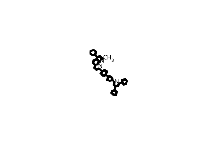 Cc1cc(C2=CCCC=C2)c2ccc3ccc(-c4ccc(-c5ccc(-c6cc(-c7ccccc7)cc(-c7ccccc7)n6)cc5)cc4)nc3c2n1